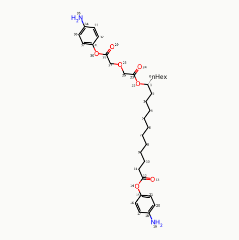 CCCCCC[C@H](CCCCCCCCCCC(=O)Oc1ccc(N)cc1)OC(=O)COCC(=O)Oc1ccc(N)cc1